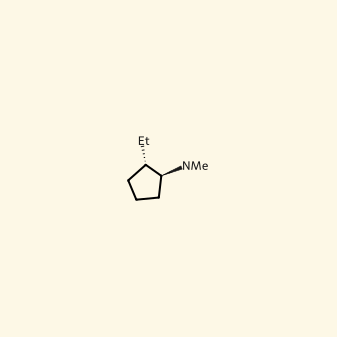 CC[C@H]1CCC[C@@H]1NC